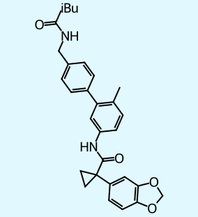 CCC(C)C(=O)NCc1ccc(-c2cc(NC(=O)C3(c4ccc5c(c4)OCO5)CC3)ccc2C)cc1